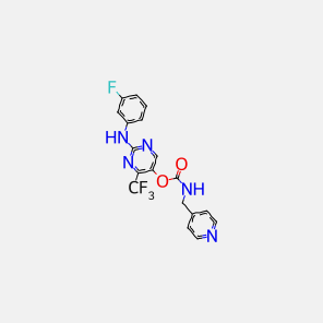 O=C(NCc1ccncc1)Oc1cnc(Nc2cccc(F)c2)nc1C(F)(F)F